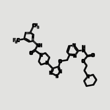 O=C(Nc1nccc(COc2nsnc2N2CCN(C(=O)Nc3cc(C(F)(F)F)cc(C(F)(F)F)c3)CC2)n1)OCCN1CCCCC1